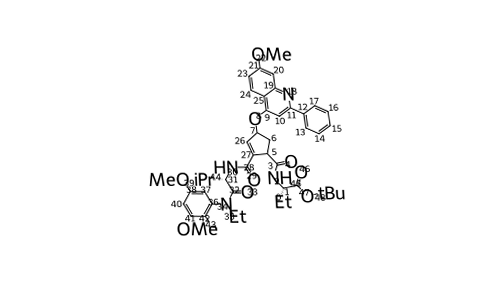 CC[C@H](NC(=O)C1CC(Oc2cc(-c3ccccc3)nc3cc(OC)ccc23)C=C1C(=O)N[C@H](C(=O)N(CC)c1cc(OC)ccc1OC)C(C)C)C(=O)OC(C)(C)C